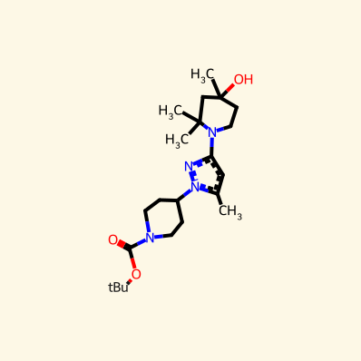 Cc1cc(N2CCC(C)(O)CC2(C)C)nn1C1CCN(C(=O)OC(C)(C)C)CC1